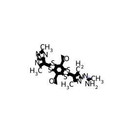 C=c1c(=C2Sc3c(c(C4CO4)c4c(c3C3CO3)SC(=c3c(C)nn5nc(C)nc35)S4)S2)c(C)nn1/N=C(/C)N